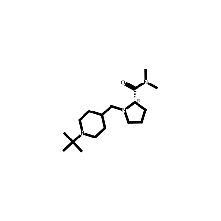 CN(C)C(=O)[C@@H]1CCCN1CC1CCN(C(C)(C)C)CC1